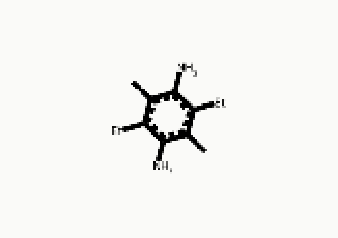 CCc1c(C)c(N)c(CC)c(C)c1N